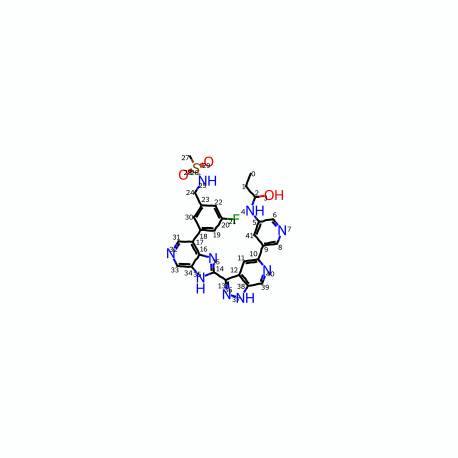 CCC(O)Nc1cncc(-c2cc3c(-c4nc5c(-c6cc(F)cc(CNS(C)(=O)=O)c6)cncc5[nH]4)n[nH]c3cn2)c1